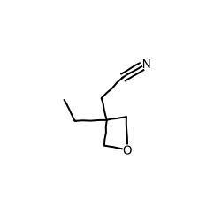 CCC1(CC#N)COC1